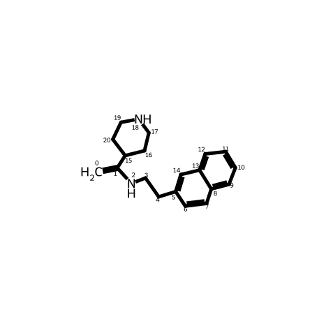 C=C(NCCc1ccc2ccccc2c1)C1CCNCC1